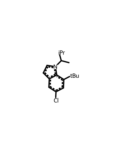 CC(C)C(C)n1ccc2cc(Cl)cc(C(C)(C)C)c21